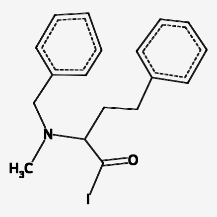 CN(Cc1ccccc1)C(CCc1ccccc1)C(=O)I